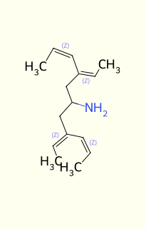 C/C=C\C(=C/C)CC(N)CC(/C=C\C)=C/C